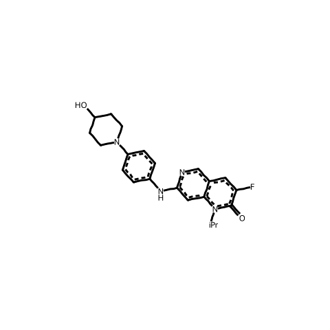 CC(C)n1c(=O)c(F)cc2cnc(Nc3ccc(N4CCC(O)CC4)cc3)cc21